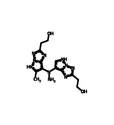 Cc1[nH]n2nc(CCO)nc2c1N(N)c1c[nH]n2nc(CCO)nc12